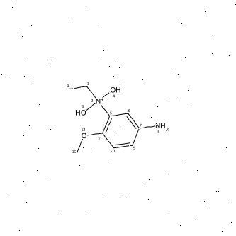 CC[N+](O)(O)c1cc(N)ccc1OC